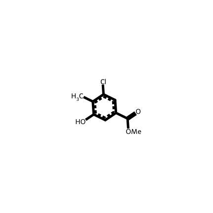 COC(=O)c1cc(O)c(C)c(Cl)c1